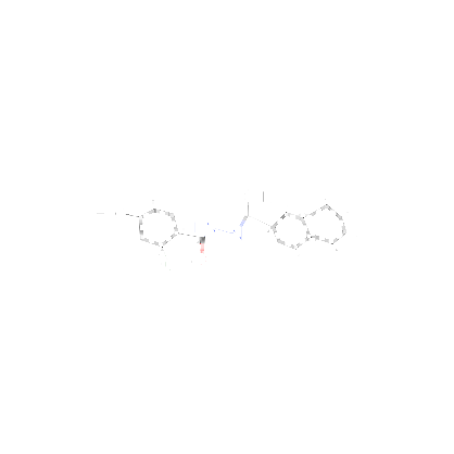 CC(=NNC(=O)c1ccc(C)cc1Cl)c1ccc2ccccc2c1